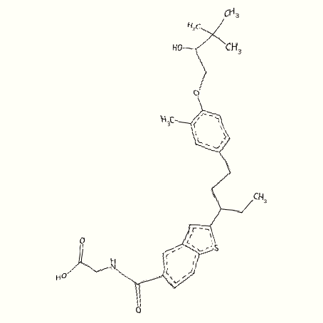 CCC(CCc1ccc(OCC(O)C(C)(C)C)c(C)c1)c1cc2cc(C(=O)NCC(=O)O)ccc2s1